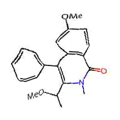 COc1ccc2c(=O)n(C)c(C(C)OC)c(-c3ccccc3)c2c1